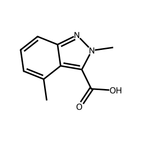 Cc1cccc2nn(C)c(C(=O)O)c12